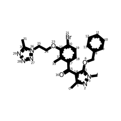 Cc1nn(C)c(OCc2ccccc2)c1C(=O)c1ccc(Br)c(OCCn2nnnc2C)c1C